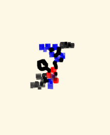 COc1nc(N)nc2c1ncn2CCOC[P@](=O)(N[C@@H](C)C(=O)O)OCc1ccccc1